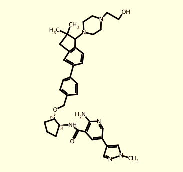 Cn1cc(-c2cnc(N)c(C(=O)N[C@H]3CCC[C@@H]3OCc3ccc(-c4ccc5c(c4)CC(C)(C)C5N4CCN(CCO)CC4)cc3)c2)cn1